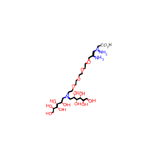 N/C(=C\N(N)CC(=O)O)COCCOCCOCCOCCN(C[C@H](O)[C@@H](O)[C@H](O)[C@H](O)CO)C[C@H](O)[C@@H](O)[C@H](O)[C@H](O)CO